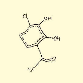 CC(=O)c1ccc(Cl)c(O)c1O